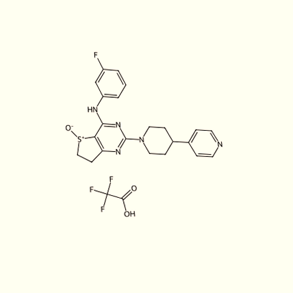 O=C(O)C(F)(F)F.[O-][S+]1CCc2nc(N3CCC(c4ccncc4)CC3)nc(Nc3cccc(F)c3)c21